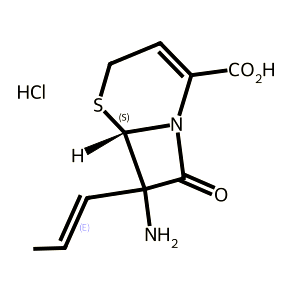 C/C=C/C1(N)C(=O)N2C(C(=O)O)=CCS[C@H]21.Cl